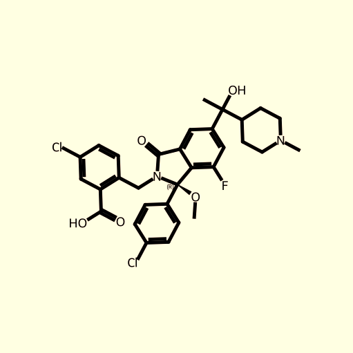 CO[C@]1(c2ccc(Cl)cc2)c2c(F)cc(C(C)(O)C3CCN(C)CC3)cc2C(=O)N1Cc1ccc(Cl)cc1C(=O)O